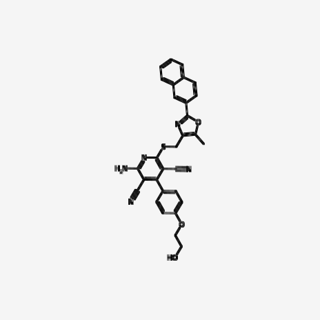 Cc1oc(-c2ccc3ccccc3c2)nc1CSc1nc(N)c(C#N)c(-c2ccc(OCCO)cc2)c1C#N